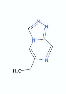 CCc1cn2cnnc2cn1